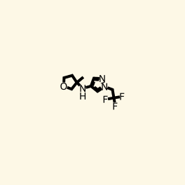 CC1(Nc2cnn(CC(F)(F)F)c2)CCOC1